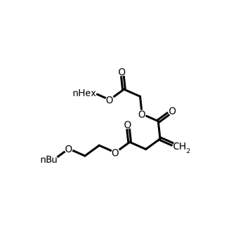 C=C(CC(=O)OCCOCCCC)C(=O)OCC(=O)OCCCCCC